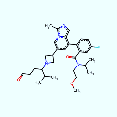 COCCN(C(=O)c1cc(F)ccc1-c1cc(C2CN(C(CCC=O)C(C)C)C2)cn2c(C)ncc12)C(C)C